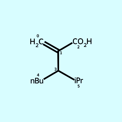 C=C(C(=O)O)C(CCCC)C(C)C